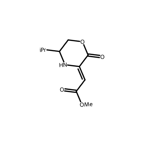 COC(=O)C=C1NC(C(C)C)COC1=O